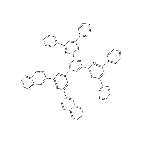 c1ccc(-c2cc(-c3ccccc3)nc(-c3cc(-c4cc(-c5ccc6ccccc6c5)nc(-c5ccc6ccccc6c5)c4)cc(-c4nc(-c5ccccc5)cc(-c5ccccc5)n4)c3)n2)cc1